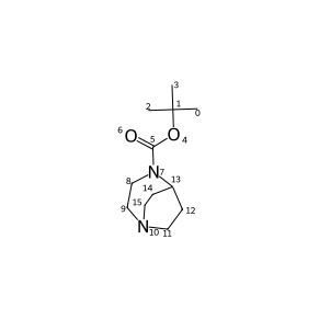 CC(C)(C)OC(=O)N1CCN2CCC1CC2